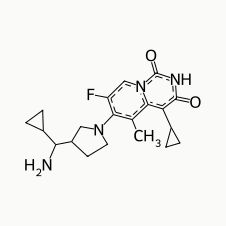 Cc1c(N2CCC(C(N)C3CC3)C2)c(F)cn2c(=O)[nH]c(=O)c(C3CC3)c12